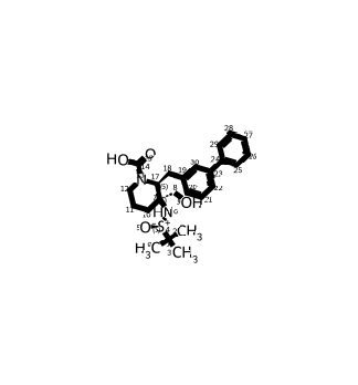 CC(C)(C)[S@@+]([O-])N[C@@]1(CO)CCCN(C(=O)O)[C@H]1Cc1cccc(-c2ccccc2)c1